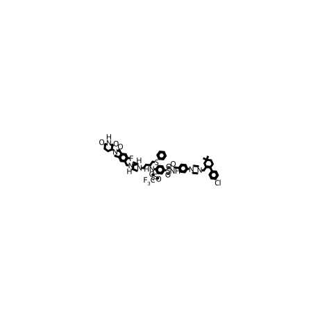 CC1(C)CCC(c2ccc(Cl)cc2)=C(CN2CCN(c3ccc(C(=O)NS(=O)(=O)c4ccc(NC(CCN5C[C@H]6C[C@@H]5CN6Cc5cc6c(cc5F)C(=O)N(C5CCC(=O)NC5=O)C6)CSc5ccccc5)c(S(=O)(=O)C(F)(F)F)c4)cc3)CC2)C1